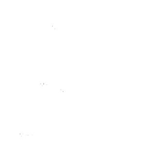 COc1cc(C)c2[nH]ccc2c1CN1CCC2(CC1c1ccc(C(=O)O)cc1)CC2OC